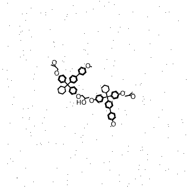 COc1ccc(-c2ccc(C(c3ccc(OCC(O)COc4ccc(C(c5ccc(OCC6CO6)cc5)(c5ccc(-c6ccc(OC)cc6)cc5)C5CCCCC5)cc4)cc3)(c3ccc(OCC4CO4)cc3)C3CCCCC3)cc2)cc1